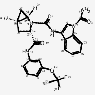 NC(=O)n1cc(NC(=O)N2[C@H](C(=O)Nc3cccc(OC(F)(F)F)c3)C[C@H]3C[C@@H]32)c2ccccc21